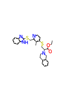 CCOC(=O)C(CSc1ccnc(CSc2nc3ccccc3[nH]2)c1C)N1CCc2ccccc2C1